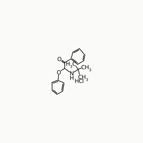 CC(C)(C)NC(Oc1ccccc1)C(=O)c1ccccc1.Cl